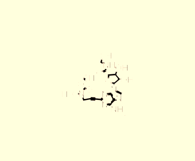 CCNC(=O)[C@H]1O[C@@H](n2cnc3c(N)nc(C#CCN(C)C(=O)OC)nc32)[C@@H](O)C1O